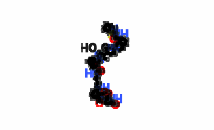 Cc1c(-c2ccc(N3CCc4cccc(C(=O)Nc5nc6ccccc6s5)c4C3)nc2C(=O)O)cnn1C[C@]12CC3CC(C1)C[C@](C(=O)NCCCCNc1cccc4c1C(=O)N(C1CCC(=O)NC1=O)C4=O)(C3)C2